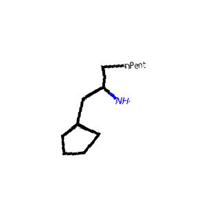 CCCCCCC([NH])CC1CCCC1